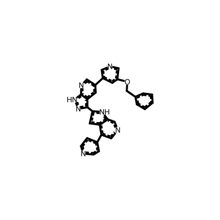 c1ccc(COc2cncc(-c3cnc4[nH]nc(-c5cc6c(-c7ccncc7)cncc6[nH]5)c4c3)c2)cc1